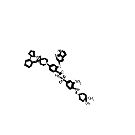 CC(C)c1ccccc1[C@H]1CCC[C@H]1N1CC2(CCN(c3ccc(C(=O)NS(=O)(=O)c4ccc(NC[C@H]5CC[C@](C)(O)CC5)c([N+](=O)[O-])c4)c(Oc4cnc5[nH]ccc5c4)c3)CC2)C1